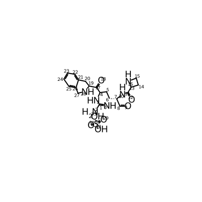 N=C(N)NC(CC[C@@H](C=O)NC(=O)C1CCN1)C(=O)C1Cc2ccccc2CN1.O=S(=O)(O)O